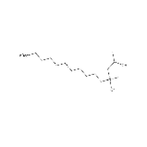 CCCCCCCCCCCCCCCCCCCC[N+](C)([O-])CC(C)O